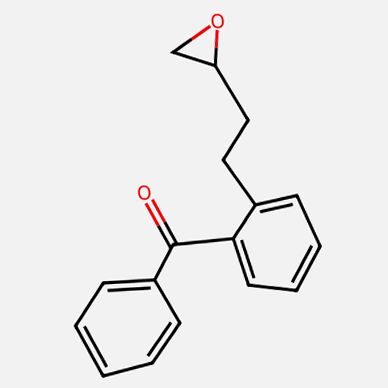 O=C(c1ccccc1)c1ccccc1CCC1CO1